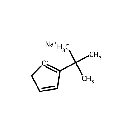 CC(C)(C)C1=[C-]CC=C1.[Na+]